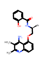 Cc1nc2cccc(OC[C@@H](NC(=O)c3ccccc3O)C(C)C)c2c(N)c1C(=O)O